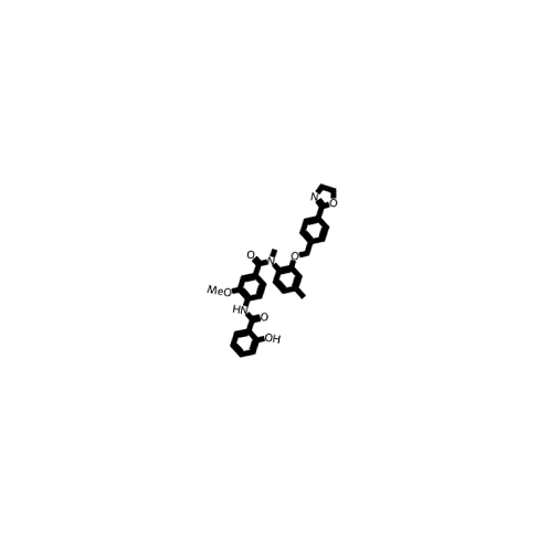 COc1cc(C(=O)N(C)c2ccc(C)cc2OCc2ccc(C3=NCCO3)cc2)ccc1NC(=O)c1ccccc1O